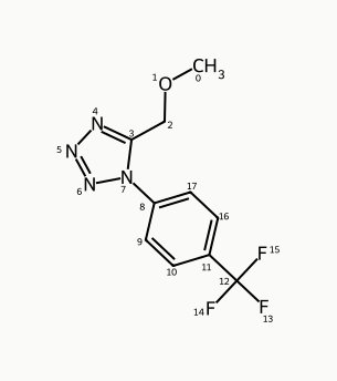 COCc1nnnn1-c1ccc(C(F)(F)F)cc1